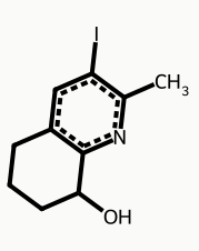 Cc1nc2c(cc1I)CCCC2O